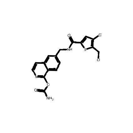 NC(=O)Oc1nccc2cc(CNC(=O)c3cc(Cl)c(CCl)s3)ccc12